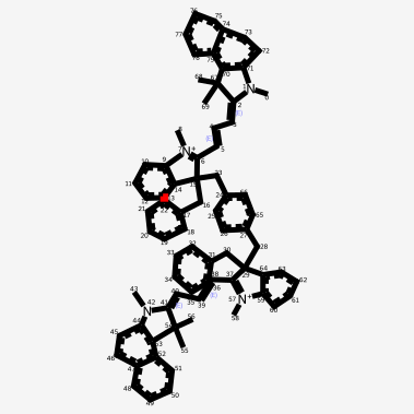 CN1/C(=C/C=C/C2=[N+](C)c3ccccc3C2(Cc2ccccc2)Cc2ccc(CC3(Cc4ccccc4)C(/C=C/C=C4/N(C)c5ccc6ccccc6c5C4(C)C)=[N+](C)c4ccccc43)cc2)C(C)(C)c2c1ccc1ccccc21